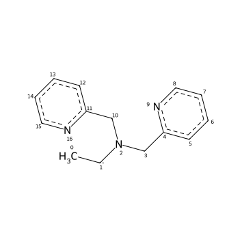 C[CH]N(Cc1ccccn1)Cc1ccccn1